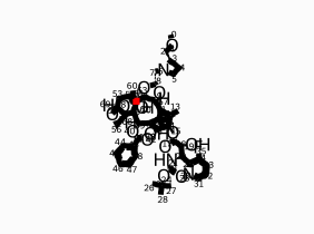 COC[C@H]1CCN1C[C@@H]1O[C@@H]2C3=C(C)[C@@H](OC(=O)[C@H](O)[C@@H](NC(=O)OC(C)(C)C)c4ncccc4F)C[C@@](O)([C@@H](OC(=O)c4ccccc4)[C@H]4[C@@](C)(CC[C@H]5OC[C@]54OC(C)=O)[C@@H]2O1)C3(C)C